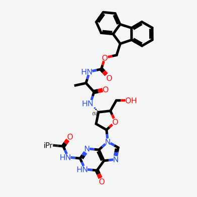 CC(C)C(=O)Nc1nc2c(ncn2C2C[C@H](NC(=O)C(C)NC(=O)OCC3c4ccccc4-c4ccccc43)C(CO)O2)c(=O)[nH]1